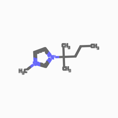 CCCC(C)(C)[n+]1ccn(C)c1